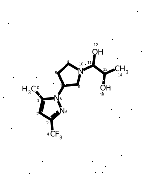 Cc1cc(C(F)(F)F)nn1C1CCN(C(O)C(C)O)C1